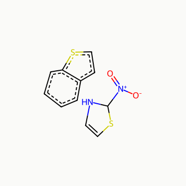 O=[N+]([O-])C1NC=CS1.c1ccc2sccc2c1